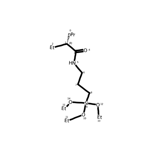 CCC[C@@H](CC)C(=O)NCCC[Si](OCC)(OCC)OCC